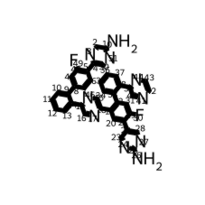 Nc1cnc(-c2ccc(-c3ccccc3-c3cnc(-c4cc(-c5cnc(N)nc5)c(F)cc4-c4ccccc4-c4cnccn4)cn3)cc2F)cn1